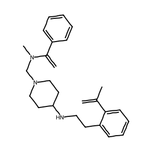 C=C(C)c1ccccc1CCNC1CCN(CN(C)C(=C)c2ccccc2)CC1